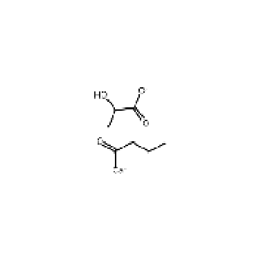 CC(O)C(=O)[O-].CCC[C](=O)[Ca+]